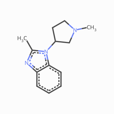 Cc1nc2ccccc2n1C1CCN(C)C1